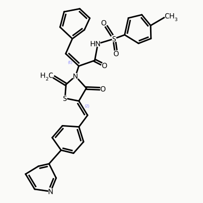 C=c1s/c(=C\c2ccc(-c3cccnc3)cc2)c(=O)n1/C(=C/c1ccccc1)C(=O)NS(=O)(=O)c1ccc(C)cc1